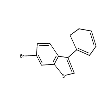 Brc1ccc2c(C3=CC=CCC3)csc2c1